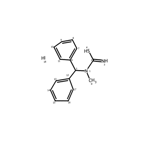 CN(C(=N)S)C(c1ccccc1)c1ccccc1.I